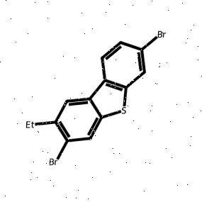 CCc1cc2c(cc1Br)sc1cc(Br)ccc12